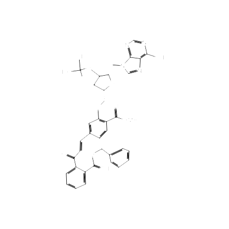 C=C(OC)c1ccc(/C=C/C(=O)c2ccccc2C(=C)OCc2ccccc2)cc1OC[C@@H]1CC(OC(C)(C)O)[C@H](Cn2cnc3c(C)ncnc32)O1